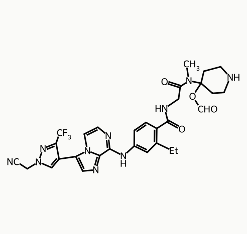 CCc1cc(Nc2nccn3c(-c4cn(CC#N)nc4C(F)(F)F)cnc23)ccc1C(=O)NCC(=O)N(C)C1(OC=O)CCNCC1